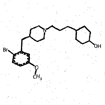 COc1ccc(Br)c(CC2CCN(CCCC3CCC(O)CC3)CC2)c1